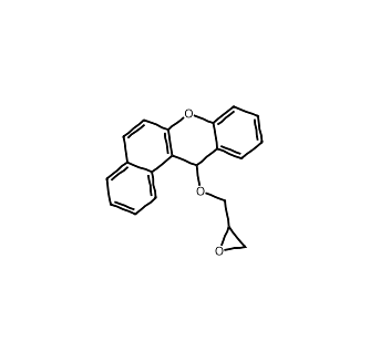 c1ccc2c(c1)Oc1ccc3ccccc3c1C2OCC1CO1